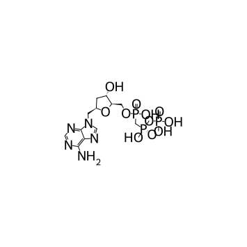 Nc1ncnc2c1ncn2C[C@H]1C[C@H](O)[C@@H](COP(=O)(O)CP(=O)(O)OP(=O)(O)O)O1